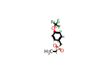 CCS(=O)(=O)Cc1ccc(OC(F)(F)F)cc1